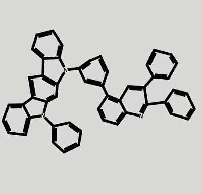 c1ccc(-c2cc3c(-c4cccc(-n5c6ccccc6c6cc7c8ccccc8n(-c8ccccc8)c7cc65)c4)cccc3nc2-c2ccccc2)cc1